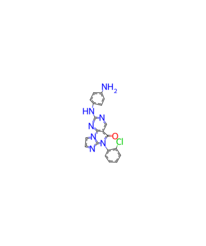 Nc1ccc(Nc2ncc3c(=O)n(-c4ccccc4Cl)c4nccn4c3n2)cc1